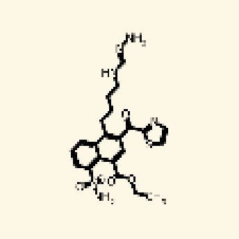 CCOC(=O)c1cc(C(=O)c2nccs2)c(CCCCNC=NN)c2cccc(S(N)(=O)=O)c12